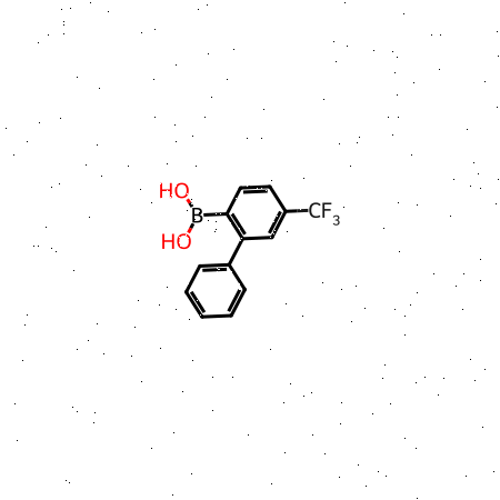 OB(O)c1ccc(C(F)(F)F)cc1-c1ccccc1